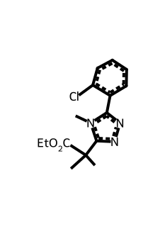 CCOC(=O)C(C)(C)c1nnc(-c2ccccc2Cl)n1C